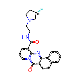 O=C(NCCN1CC[C@@H](F)C1)c1cccn2c(=O)c3ccc4ccccc4c3nc12